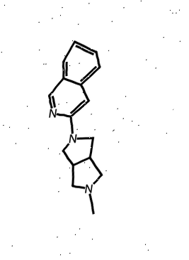 CN1CC2CN(c3cc4ccccc4cn3)CC2C1